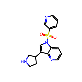 O=S(=O)(c1cccnc1)n1cc(C2CCNC2)c2ncccc21